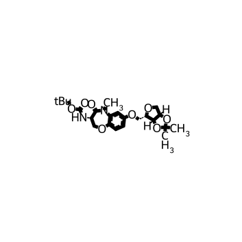 CN1C(=O)[C@@H](NC(=O)OC(C)(C)C)COc2ccc(OC[C@@H]3OC[C@H]4OC(C)(C)O[C@@H]34)cc21